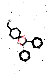 O=NCC1CCC2(CC1)O[C@@H](c1ccccc1)[C@H](c1ccccc1)O2